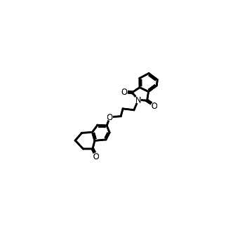 O=C1CCCc2cc(OCCCN3C(=O)c4ccccc4C3=O)ccc21